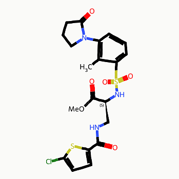 COC(=O)[C@H](CNC(=O)c1ccc(Cl)s1)NS(=O)(=O)c1cccc(N2CCCC2=O)c1C